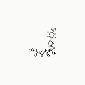 CC(C)(C)OC(=O)N1CC(C(=O)N[C@H](C#N)Cc2ccc(-c3ccc(C#N)cc3)s2)C1